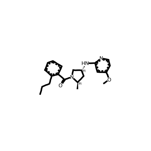 CCCc1ccccc1C(=O)N1C[C@H](Nc2cc(OC)ccn2)C[C@H]1C